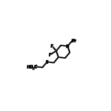 CC(C)N1CCC(CSCC(=O)O)C(F)(F)C1